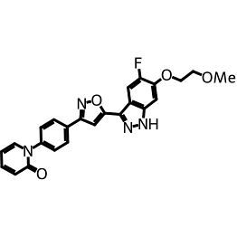 COCCOc1cc2[nH]nc(-c3cc(-c4ccc(-n5ccccc5=O)cc4)no3)c2cc1F